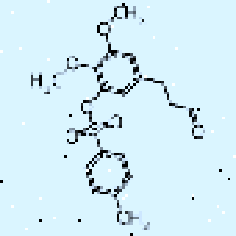 COc1cc(CC[C]=O)cc(OS(=O)(=O)c2ccc(C)cc2)c1OC